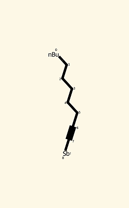 CCCCCCCCCC#[C][Sb]